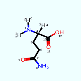 [2H]N([2H])[C@@]([2H])(CCC(N)=O)C(=O)O